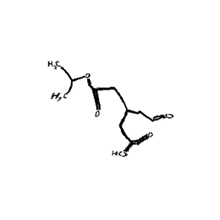 CC(C)OC(=O)CC(CC=O)CC(=O)O